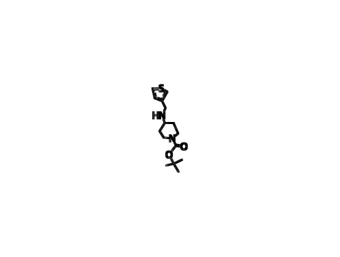 CC(C)(C)OC(=O)N1CCC(NCc2ccsc2)CC1